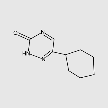 O=c1ncc(C2CCCCC2)n[nH]1